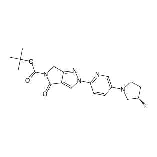 CC(C)(C)OC(=O)N1Cc2nn(-c3ccc(N4CC[C@@H](F)C4)cn3)cc2C1=O